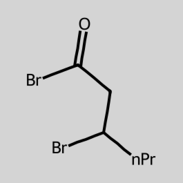 CCCC(Br)CC(=O)Br